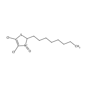 CCCCCCCCC1SC(Cl)=C(Cl)[N+]1=O